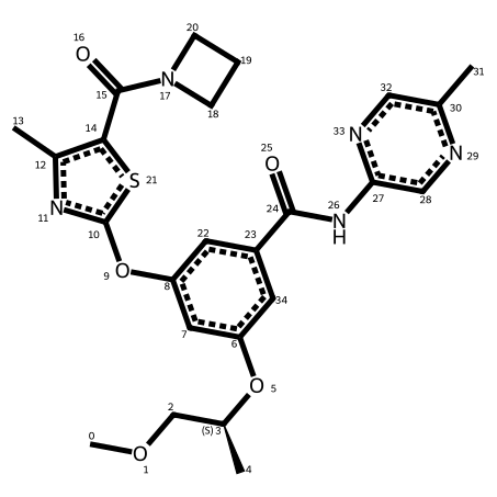 COC[C@H](C)Oc1cc(Oc2nc(C)c(C(=O)N3CCC3)s2)cc(C(=O)Nc2cnc(C)cn2)c1